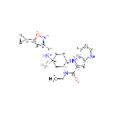 CCN(C(=O)c1cc2ncccc2[nH]1)[C@H]1CCCC(C)(NCc2cc(C3CC3)on2)C1